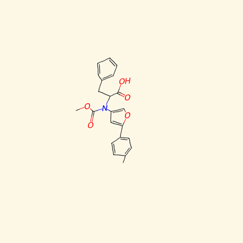 COC(=O)N(c1coc(-c2ccc(C)cc2)c1)C(Cc1ccccc1)C(=O)O